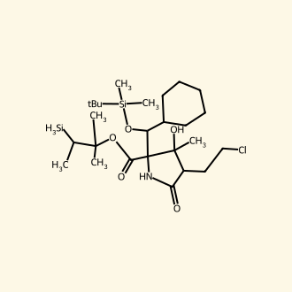 CC([SiH3])C(C)(C)OC(=O)C1(C(O[Si](C)(C)C(C)(C)C)C2CCCCC2)NC(=O)C(CCCl)C1(C)O